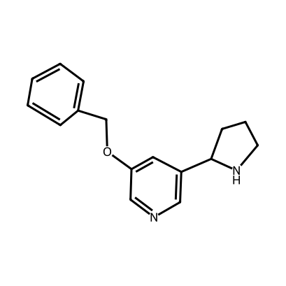 c1ccc(COc2cncc(C3CCCN3)c2)cc1